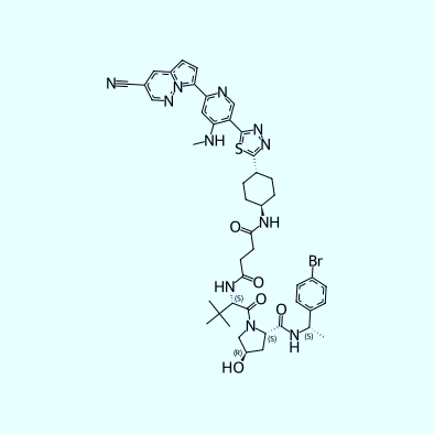 CNc1cc(-c2ccc3cc(C#N)cnn23)ncc1-c1nnc([C@H]2CC[C@H](NC(=O)CCC(=O)N[C@H](C(=O)N3C[C@H](O)C[C@H]3C(=O)N[C@@H](C)c3ccc(Br)cc3)C(C)(C)C)CC2)s1